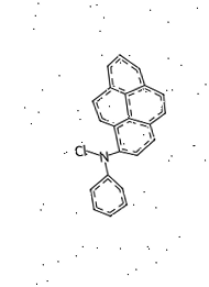 ClN(c1ccccc1)c1ccc2ccc3cccc4ccc1c2c34